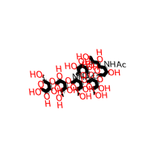 CC(=O)N[C@H]1[C@H](O[C@H]2[C@@H](O)[C@@H](CO)O[C@@H](O[C@H]3[C@H](O)[C@@H](O)C(O)O[C@@H]3CO)[C@@H]2O)O[C@H](CO)[C@@H](O)[C@@H]1O[C@@H]1O[C@H](CO)[C@H](O)[C@H](O[C@]2(C(=O)O)C[C@H](O)[C@@H](NC(C)=O)[C@H]([C@H](O)[C@H](O)CO)O2)[C@H]1O[C@@H]1O[C@@H](C)[C@@H](O)[C@@H](O)[C@@H]1O